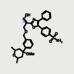 COC1(c2cccc(COC/C(=N/O)c3nc(-c4ccccc4)c(-c4ccc(S(N)(=O)=O)cc4)o3)c2)CC(C)OC(C)C1